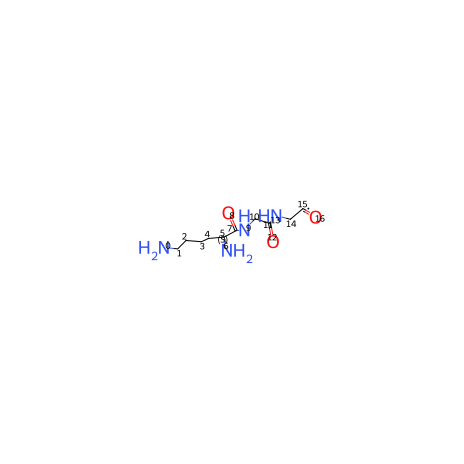 NCCCC[C@H](N)C(=O)NCC(=O)NC[C]=O